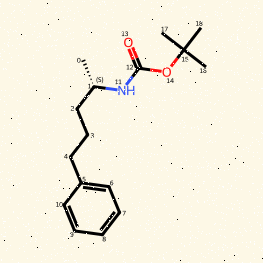 C[C@@H](CCCc1ccccc1)NC(=O)OC(C)(C)C